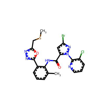 CSCc1nnc(-c2cccc(C)c2NC(=O)c2cc(Br)nn2-c2ncccc2Cl)o1